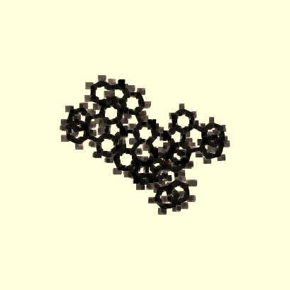 c1ccc(-c2cccc3c2c2c(-c4ccccc4)cccc2n3-c2nc(-c3ccc4sc5ccccc5c4c3)c(-n3c4cccc(-c5ccccc5)c4c4c(-c5ccccc5)cccc43)c(-c3cccc4sc5ccccc5c34)c2-n2c3cccc(-c4ccccc4)c3c3c(-c4ccccc4)cccc32)cc1